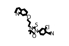 CC1(C)C(=O)N(c2ccc(C#N)c(Cl)c2)C(=S)N1CCCOc1ccc2cccnc2c1